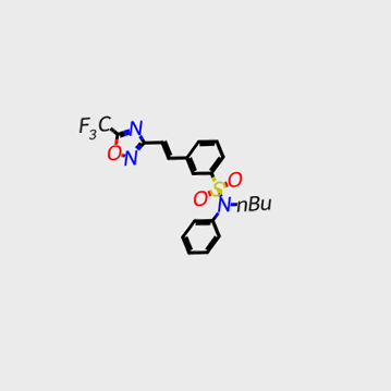 CCCCN(c1ccccc1)S(=O)(=O)c1cccc(/C=C/c2noc(C(F)(F)F)n2)c1